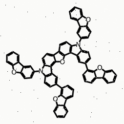 c1ccc2c(c1)oc1ccc(-n3c4ccc(-c5cccc6c5oc5ccccc56)cc4c4c5oc6c(ccc7c6c6cc(-c8cccc9c8oc8ccccc89)ccc6n7-c6ccc7oc8ccccc8c7c6)c5ccc43)cc12